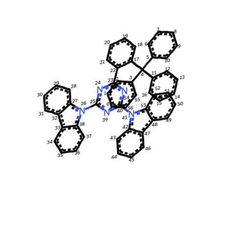 c1ccc(C(c2ccccc2)(c2ccccc2)c2ccccc2-c2nc(-n3c4ccccc4c4ccccc43)nc(-n3c4ccccc4c4ccccc43)n2)cc1